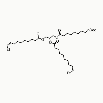 CC/C=C\CCCCCCCC(=O)OCC(COC(=O)CCCCCCCCCCCCCCCCC)OC(=O)CCCCCCC/C=C\CC